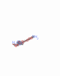 C=C/C=C\C(=C)Oc1ccc(-c2nn(C3CCCN(C(=O)/C=C/CCCCOCCOCCOCCN)C3)c3ncnc(N)c23)cc1